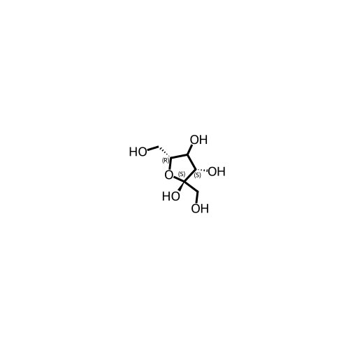 OC[C@H]1O[C@@](O)(CO)[C@@H](O)C1O